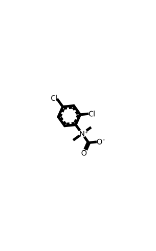 C[N+](C)(C(=O)[O-])c1ccc(Cl)cc1Cl